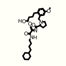 COc1ccc(CCCC(=O)O)c(CN2CCCC2c2nc(C(=O)NCCCCC3CCCCC3)co2)c1